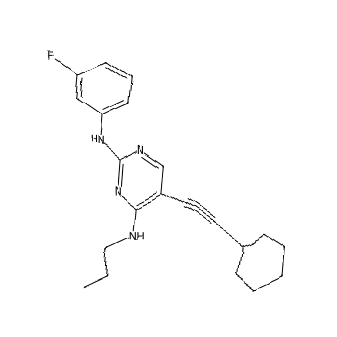 CCCNc1nc(Nc2cccc(F)c2)ncc1C#CC1CCCCC1